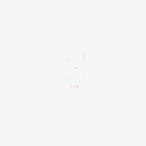 CCC(O)(Cl)OC(C)=O